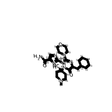 CN1CCC(C#N)(NC(=O)C(CC2CCCCC2)/N=C(\Nc2ncc(C(N)=O)[nH]2)N2CCOCC2)CC1